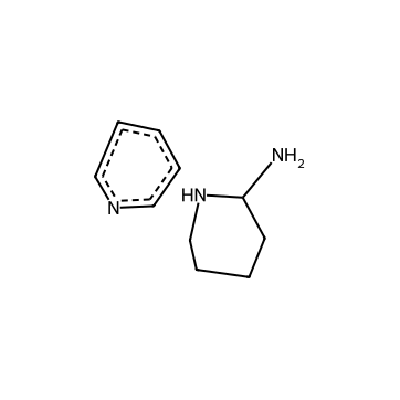 NC1CCCCN1.c1ccncc1